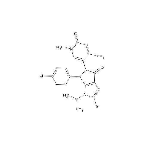 Cc1cc(=O)n(C)cc1N1C(=O)c2cc(Br)n(C(C)C)c2C1c1ccc(Cl)cc1